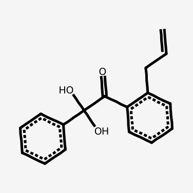 C=CCc1ccccc1C(=O)C(O)(O)c1ccccc1